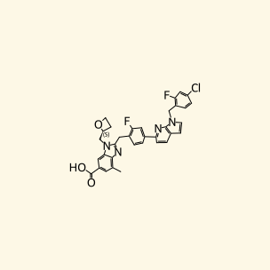 Cc1cc(C(=O)O)cc2c1nc(Cc1ccc(-c3ccc4ccn(Cc5ccc(Cl)cc5F)c4n3)cc1F)n2C[C@@H]1CCO1